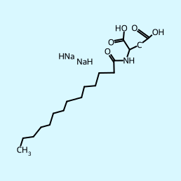 CCCCCCCCCCCCCC(=O)NC(CC(=O)O)C(=O)O.[NaH].[NaH]